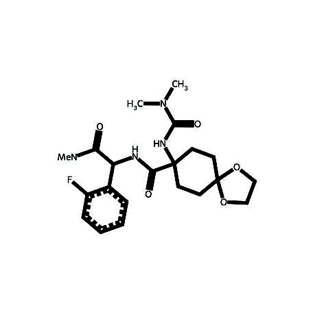 CNC(=O)C(NC(=O)C1(NC(=O)N(C)C)CCC2(CC1)OCCO2)c1ccccc1F